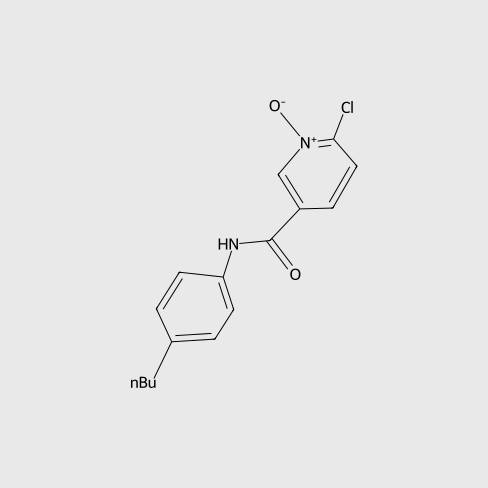 CCCCc1ccc(NC(=O)c2ccc(Cl)[n+]([O-])c2)cc1